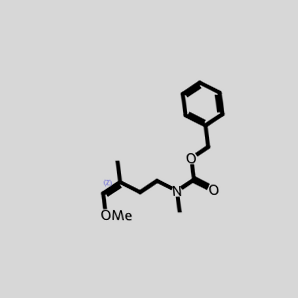 CO/C=C(/C)CCN(C)C(=O)OCc1ccccc1